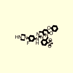 CS(=O)(=O)c1ccccc1Cn1c(=O)c(Oc2ccccc2)cc2cnc(Nc3ccc(N4CCNCC4)c(F)c3)nc21